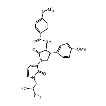 COc1ccc([C@@H]2CN(c3cccn(CC(C)O)c3=O)C(=O)C2NC(=O)c2ccc(OC(F)(F)F)cc2)cc1